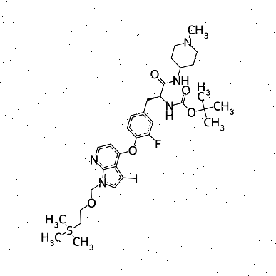 CN1CCC(NC(=O)[C@H](Cc2ccc(Oc3ccnc4c3c(I)cn4COCCS(C)(C)C)c(F)c2)NC(=O)OC(C)(C)C)CC1